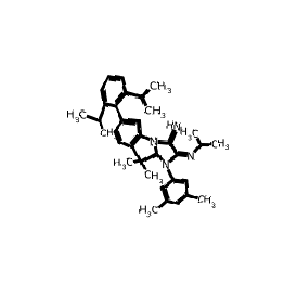 Cc1cc(C)cc(N2/C(=N/C(C)C)C(=N)N3c4cc(-c5c(C(C)C)cccc5C(C)C)ccc4C(C)(C)C32)c1